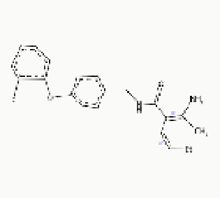 CC/C=C\C(C(=O)NCc1ccc(Oc2ccccc2F)cc1)=C(/C)N